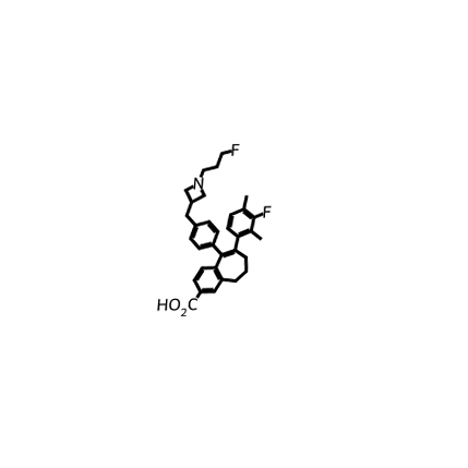 Cc1ccc(C2=C(c3ccc(CC4CN(CCCF)C4)cc3)c3ccc(C(=O)O)cc3CCC2)c(C)c1F